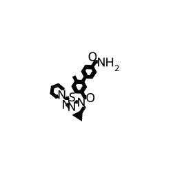 Cc1ccc(C(=O)N(CC2CC2)c2nnc(N3CCCCC3)s2)cc1-c1ccc(C(N)=O)cc1